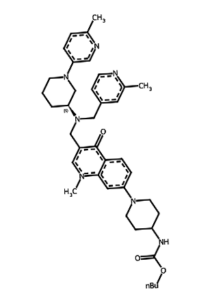 CCCCOC(=O)NC1CCN(c2ccc3c(=O)c(CN(Cc4ccnc(C)c4)[C@H]4CCCN(c5ccc(C)nc5)C4)cn(C)c3c2)CC1